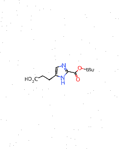 CC(C)(C)OC(=O)c1ncc(CCC(=O)O)[nH]1